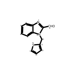 O=Cc1nc2ccccc2n1Cc1cccs1